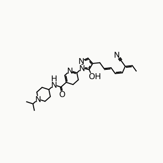 C\C=C(C#N)/C=C\C=C\Cc1cnn(C2=NC=C(C(=O)NC3CCN(C(C)C)CC3)CC2)c1O